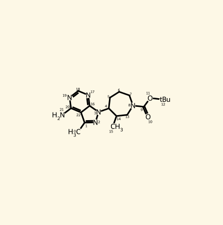 Cc1nn(C2CCCN(C(=O)OC(C)(C)C)CC2C)c2ncnc(N)c12